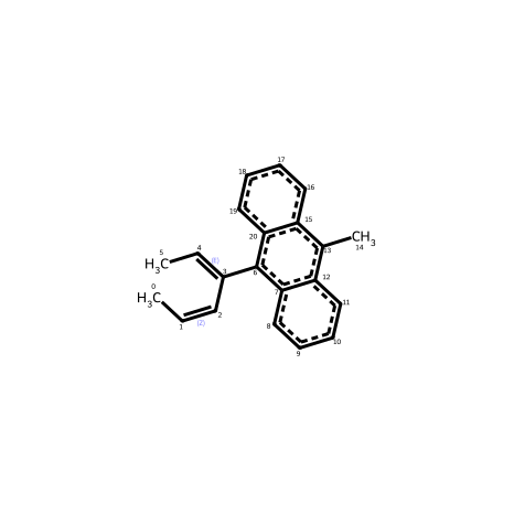 C/C=C\C(=C/C)c1c2ccccc2c(C)c2ccccc12